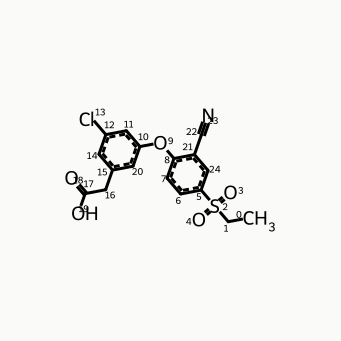 CCS(=O)(=O)c1ccc(Oc2cc(Cl)cc(CC(=O)O)c2)c(C#N)c1